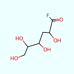 O=C(F)C(O)CC(O)C(O)CO